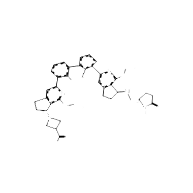 COc1nc(-c2cccc(-c3cccc(-c4cc5c(c(OC)n4)[C@@H](N4CC(C(=O)O)C4)CC5)c3Cl)c2Cl)cc2c1C(NC[C@@H]1CCC(=O)N1)CC2